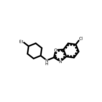 CCC1CCC(Nc2nc3ccc(Cl)cc3o2)CC1